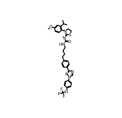 COc1ccc(N2CCS/C2=N\C(=O)NCCCCc2ccc(-c3ncn(-c4ccc(OC(F)(F)F)cc4)n3)cc2)c(C(C)C)c1